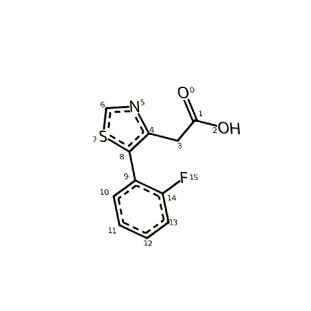 O=C(O)Cc1ncsc1-c1ccccc1F